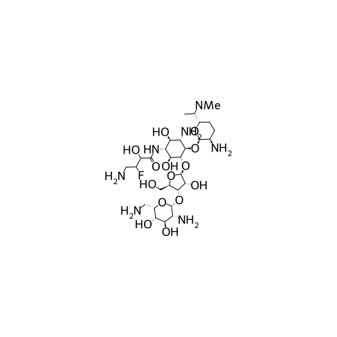 CNC(C)[C@@H]1CC[C@@H](N)[C@@H](O[C@@H]2[C@@H](N)[C@H](O)[C@@H](NC(=O)C(O)C(F)CN)[C@H](O)[C@H]2O[C@@H]2O[C@H](CO)[C@@H](O[C@H]3O[C@@H](CN)[C@@H](O)[C@H](O)[C@H]3N)[C@H]2O)O1